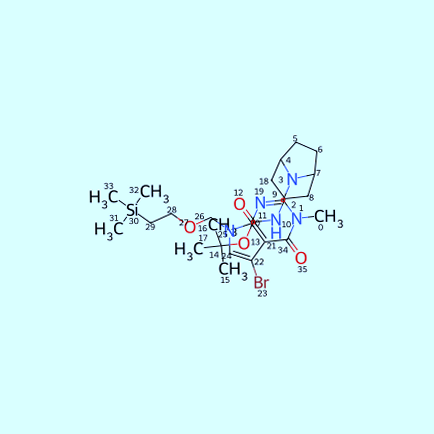 Cn1c(N2C3CCC2CC(NC(=O)OC(C)(C)C)C3)nc2c(c(Br)cn2COCC[Si](C)(C)C)c1=O